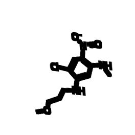 CNc1cc(NCCCOC)c(Cl)cc1[N+](=O)[O-]